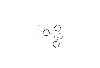 COc1cc(N(C(=O)C2(c3ccccc3F)C=C(C)ON2)c2cccc(NC(C)=O)c2)cc(OC)c1OC